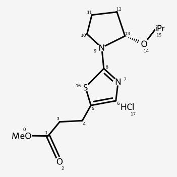 COC(=O)CCc1cnc(N2CCC[C@@H]2OC(C)C)s1.Cl